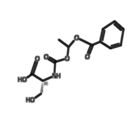 CC(OC(=O)N[C@H](CO)C(=O)O)OC(=O)c1ccccc1